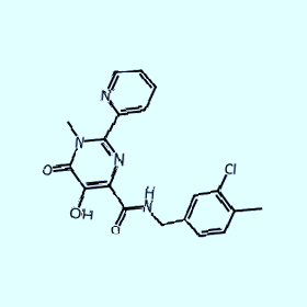 Cc1ccc(CNC(=O)c2nc(-c3ccccn3)n(C)c(=O)c2O)cc1Cl